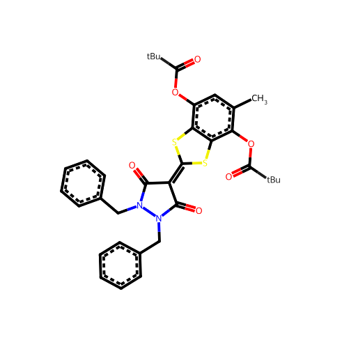 Cc1cc(OC(=O)C(C)(C)C)c2c(c1OC(=O)C(C)(C)C)SC(=C1C(=O)N(Cc3ccccc3)N(Cc3ccccc3)C1=O)S2